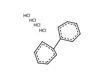 Cl.Cl.Cl.Cl.c1ccc(-c2ccccc2)cc1